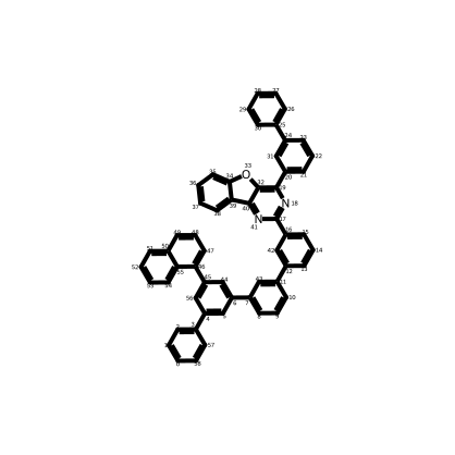 c1ccc(-c2cc(-c3cccc(-c4cccc(-c5nc(-c6cccc(-c7ccccc7)c6)c6oc7ccccc7c6n5)c4)c3)cc(-c3cccc4ccccc34)c2)cc1